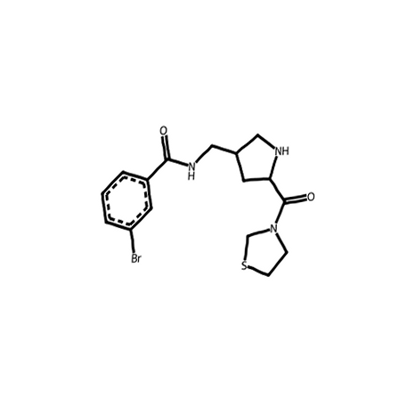 O=C(NCC1CNC(C(=O)N2CCSC2)C1)c1cccc(Br)c1